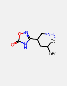 CCCC(CC)CC(CN)c1noc(=O)[nH]1